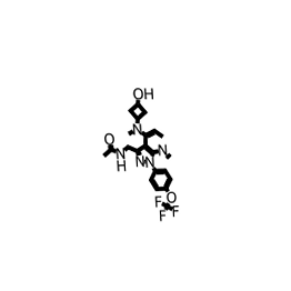 C=Nc1c(/C(=C\C)N(C)C2CC(O)C2)c(CNC(C)=O)nn1-c1ccc(OC(F)(F)F)cc1